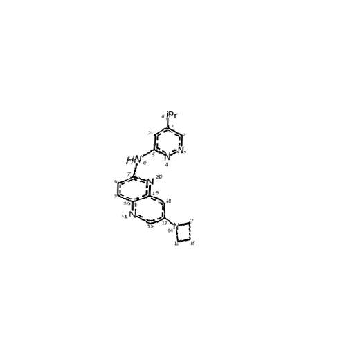 CC(C)c1cnnc(Nc2ccc3ncc(N4CCC4)cc3n2)c1